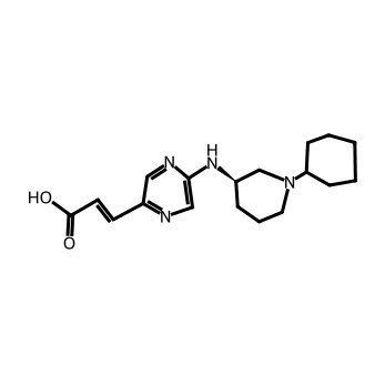 O=C(O)C=Cc1cnc(N[C@@H]2CCCN(C3CCCCC3)C2)cn1